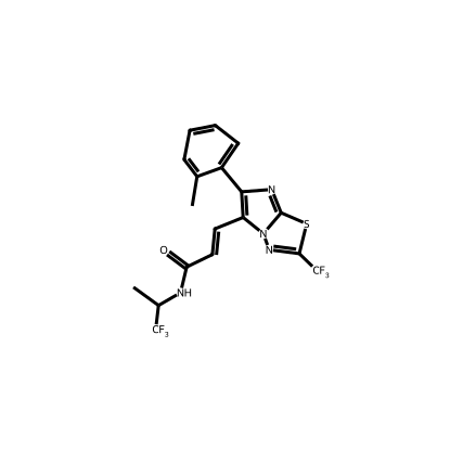 Cc1ccccc1-c1nc2sc(C(F)(F)F)nn2c1/C=C/C(=O)NC(C)C(F)(F)F